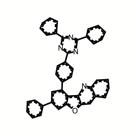 c1ccc(-c2cc(-c3ccc(-c4nc(-c5ccccc5)nc(-c5ccccc5)n4)cc3)c3c(c2)oc2cc4ccccc4nc23)cc1